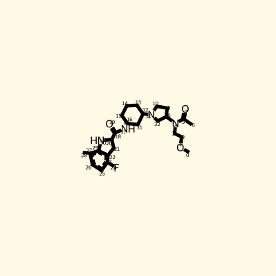 COCCN(C(C)=O)C1CCN(C2CCC[C@@H](NC(=O)C3Cc4c(F)ccc(C)c4N3)C2)C1